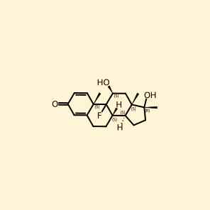 C[C@]12C=CC(=O)C=C1CC[C@H]1[C@@H]3CC[C@@](C)(O)[C@@]3(C)C[C@H](O)C12F